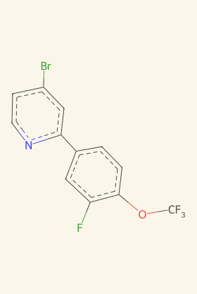 Fc1cc(-c2cc(Br)ccn2)ccc1OC(F)(F)F